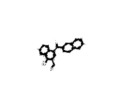 O=Cc1cc(C(=O)c2ccc3ccccc3c2)c2ccccc2c1O